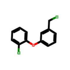 ClCc1cccc(Oc2ccccc2Cl)c1